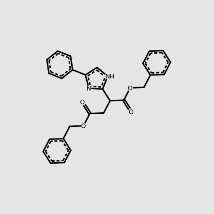 O=C(CC(C(=O)OCc1ccccc1)c1nc(-c2ccccc2)c[nH]1)OCc1ccccc1